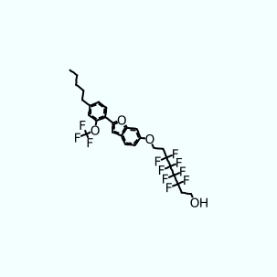 CCCCCc1ccc(-c2cc3ccc(OCCC(F)(F)C(F)(F)C(F)(F)C(F)(F)CCO)cc3o2)c(OC(F)(F)F)c1